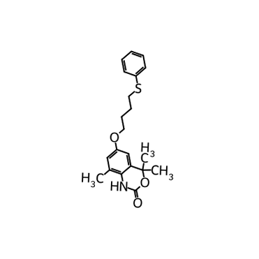 Cc1cc(OCCCCSc2ccccc2)cc2c1NC(=O)OC2(C)C